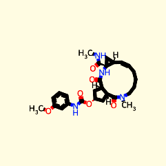 CNC(=O)[C@@]12C[C@H]1/C=C\CCCCN(C)C(=O)[C@@H]1C[C@H](OC(=O)Nc3cccc(OC)c3)C[C@H]1C(=O)N2